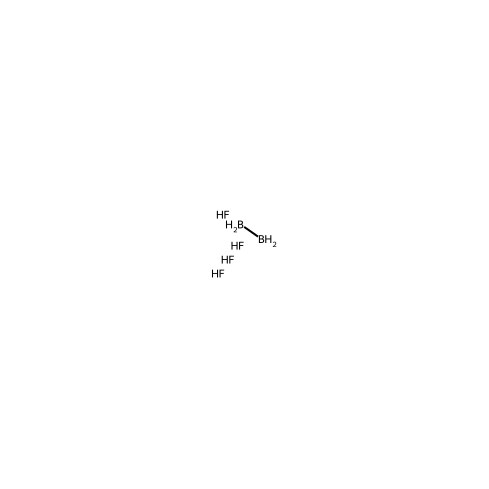 BB.F.F.F.F